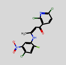 CC(=CC(=O)c1ccc(Cl)nc1Cl)Nc1cc([N+](=O)[O-])c(Cl)cc1F